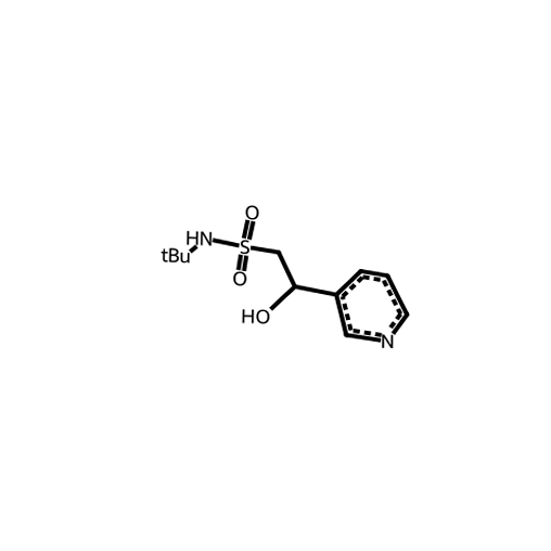 CC(C)(C)NS(=O)(=O)CC(O)c1cccnc1